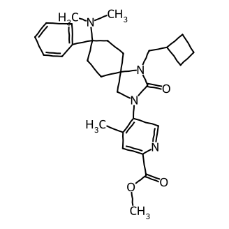 COC(=O)c1cc(C)c(N2CC3(CCC(c4ccccc4)(N(C)C)CC3)N(CC3CCC3)C2=O)cn1